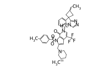 CC=C1CC(c2cccc(-n3cc(C(F)(F)F)c4cc(CN5CCC[C@H](C)C5)n(S(=O)(=O)c5ccc(C)cc5)c4c3=O)c2)(c2nncn2C)C1